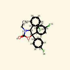 N#CCN1C(=O)OC(c2ccc(F)cc2)(c2ccc(F)cc2)C1c1ccccc1F